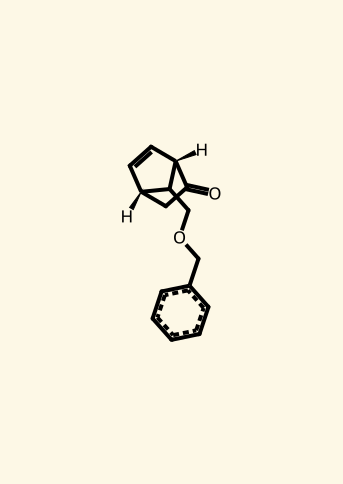 O=C1C[C@@H]2C=C[C@H]1C2COCc1ccccc1